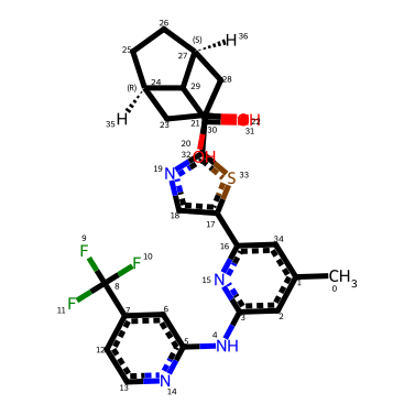 Cc1cc(Nc2cc(C(F)(F)F)ccn2)nc(-c2cnc(C3(O)C[C@H]4CC[C@@H](C3)C4C(=O)O)s2)c1